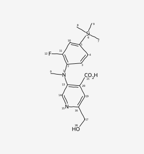 CN(c1ccc([Si](C)(C)C)cc1F)c1cnc(CO)cc1C(=O)O